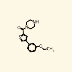 CCOc1cccc(-c2csc(C(=O)N3CCNCC3)c2)c1